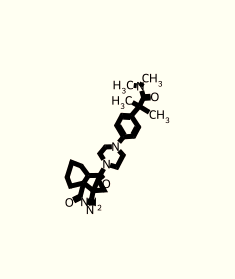 CN(C)C(=O)C(C)(C)c1ccc(N2CCN(C(=O)C3CCCCC3(C(N)=O)C3(C#N)CC3)CC2)cc1